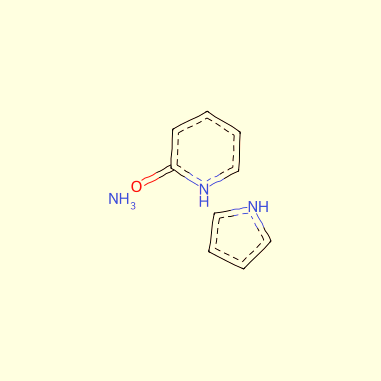 N.O=c1cccc[nH]1.c1cc[nH]c1